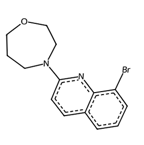 Brc1cccc2ccc(N3CCCOCC3)nc12